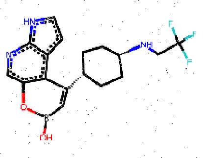 OB1C=C([C@H]2CC[C@H](NCC(F)(F)F)CC2)c2c(cnc3[nH]ccc23)O1